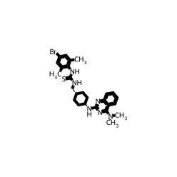 Cc1cc(Br)cc(C)c1NC(=S)NC[C@H]1CC[C@@H](Nc2nc(N(C)C)c3ccccc3n2)CC1